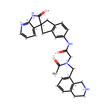 CC(C)(C)C(=O)N(CC(=O)Nc1ccc2c(c1)CC1(C2)C(=O)Nc2ncccc21)Cc1cccc2c1CNCC2